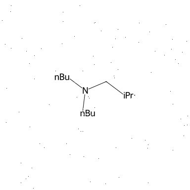 CCCCN(CCCC)C[C](C)C